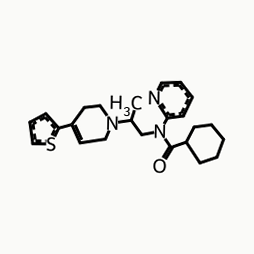 CC(CN(C(=O)C1CCCCC1)c1ccccn1)N1CC=C(c2cccs2)CC1